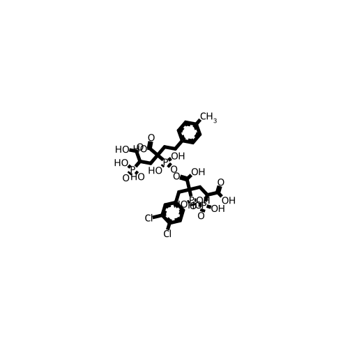 Cc1ccc(CCC(CC(C(=O)O)P(=O)(O)O)(C(=O)O)P(=O)(O)O)cc1.O=C(O)C(CC(Cc1ccc(Cl)c(Cl)c1)(C(=O)O)P(=O)(O)O)P(=O)(O)O